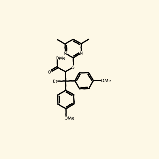 CCC(c1ccc(OC)cc1)(c1ccc(OC)cc1)C(Sc1nc(C)cc(C)n1)C(=O)OC